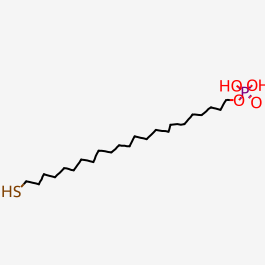 O=P(O)(O)OCCCCCCCCCCCCCCCCCCCCCCCS